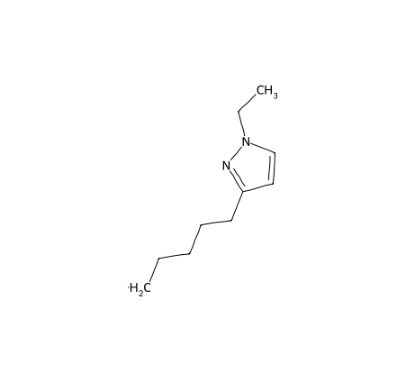 [CH2]CCCCc1ccn(CC)n1